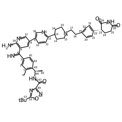 Cc1cc(C(=N)c2cc(-c3ccc(C4CCN(CCc5ccc([C@H]6CCC(=O)NC6=O)cc5)CC4)nc3)cnc2N)ccc1[C@@H](C)NC(=O)c1noc(C(C)(C)C)n1